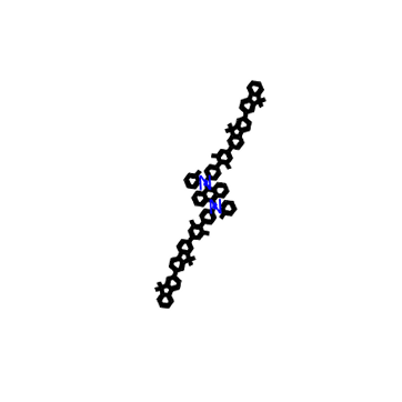 Cc1ccccc1N(c1ccc(-c2c(C)cc(-c3ccc4c(c3)C(C)(C)c3cc(-c5ccc6c(c5)C(C)(C)c5ccccc5-6)ccc3-4)cc2C)cc1)c1c2ccccc2c(N(c2ccc(-c3c(C)cc(-c4ccc5c(c4)C(C)(C)c4cc(-c6ccc7c(c6)C(C)(C)c6ccccc6-7)ccc4-5)cc3C)cc2)c2ccccc2C)c2ccccc12